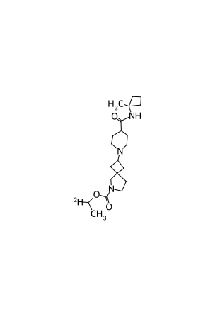 [2H]C(C)OC(=O)N1CCC2(CC(N3CCC(C(=O)NC4(C)CCC4)CC3)C2)C1